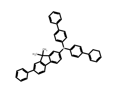 CC1(C)c2cc(-c3ccccc3)ccc2-c2ccc(N(c3ccc(C4=CC=CCC4)cc3)c3ccc(-c4ccccc4)cc3)cc21